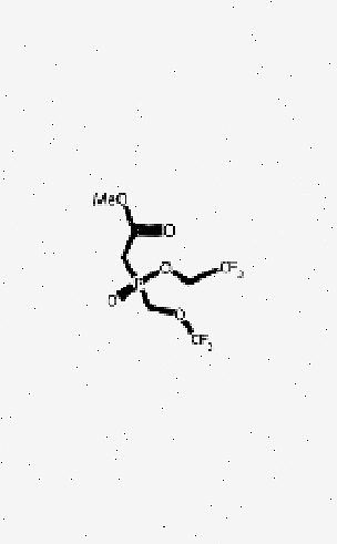 COC(=O)CP(=O)(COC(F)(F)F)OCC(F)(F)F